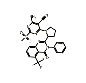 CS(=O)(=O)c1nc(N)c(C#N)c(N2CCCC2c2nc3cccc(C(F)(F)F)c3c(=O)n2-c2ccccc2)n1